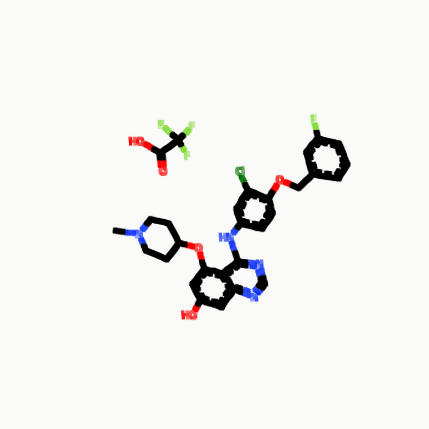 CN1CCC(Oc2cc(O)cc3ncnc(Nc4ccc(OCc5cccc(F)c5)c(Cl)c4)c23)CC1.O=C(O)C(F)(F)F